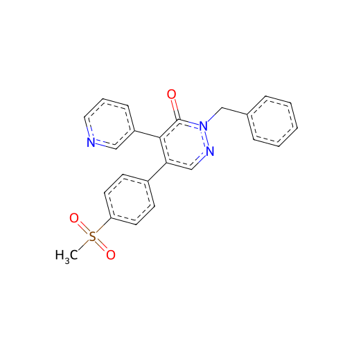 CS(=O)(=O)c1ccc(-c2cnn(Cc3ccccc3)c(=O)c2-c2cccnc2)cc1